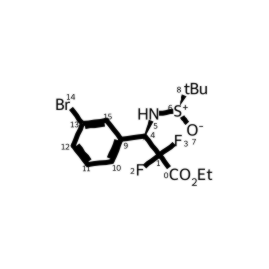 CCOC(=O)C(F)(F)[C@H](N[S@+]([O-])C(C)(C)C)c1cccc(Br)c1